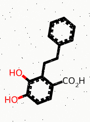 O=C(O)c1ccc(O)c(O)c1CCc1ccccc1